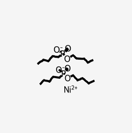 CCCCCOP(=O)([O-])CCCCC.CCCCCOP(=O)([O-])CCCCC.[Ni+2]